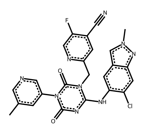 Cc1cncc(-n2c(=O)nc(Nc3cc4cn(C)nc4cc3Cl)n(Cc3cc(C#N)c(F)cn3)c2=O)c1